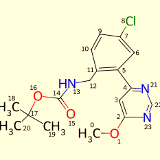 COc1cc(-c2cc(Cl)ccc2CNC(=O)OC(C)(C)C)ncn1